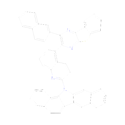 c1ccc2cc(-c3nc4c(nc3-c3cccc5nc(-n6c7cc8ccccc8cc7c7ccc8ccccc8c76)ccc35)sc3ccccc34)ccc2c1